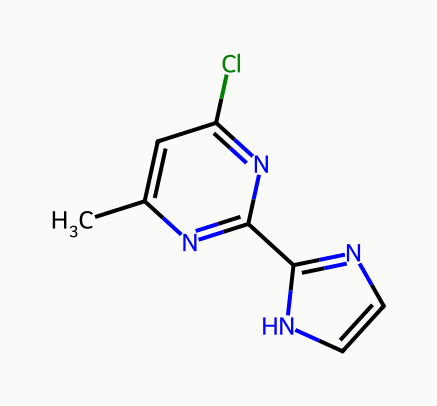 Cc1cc(Cl)nc(-c2ncc[nH]2)n1